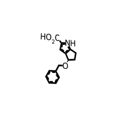 O=C(O)c1cc2c([nH]1)CC[C@@H]2OCc1ccccc1